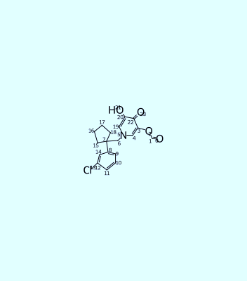 O=COc1cn(CC2(c3cccc(Cl)c3)CCCC2)cc(O)c1=O